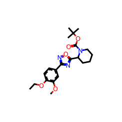 CCOc1ccc(-c2noc(C3CCCCN3C(=O)OC(C)(C)C)n2)cc1OC